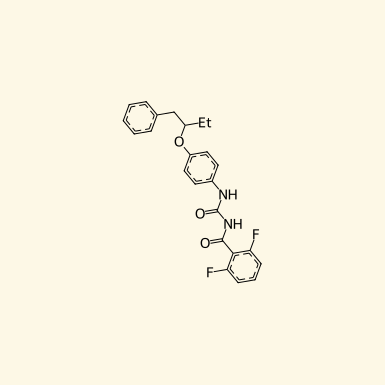 CCC(Cc1ccccc1)Oc1ccc(NC(=O)NC(=O)c2c(F)cccc2F)cc1